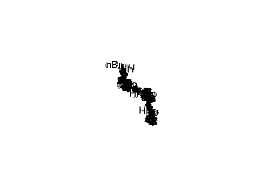 CCCCNCCc1csc2ccc(OCCNc3ccc4scc(CCNC(=O)C5CCCCC5)c4c3)cc12